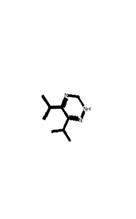 CC(C)C1=NCNN=C1C(C)C